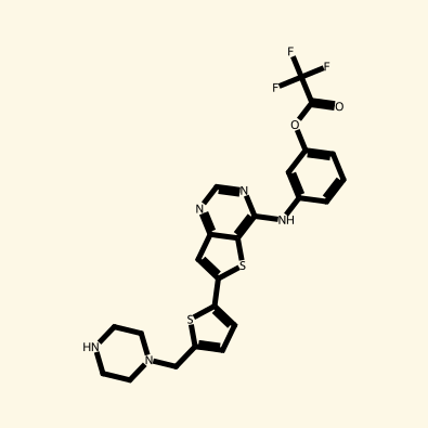 O=C(Oc1cccc(Nc2ncnc3cc(-c4ccc(CN5CCNCC5)s4)sc23)c1)C(F)(F)F